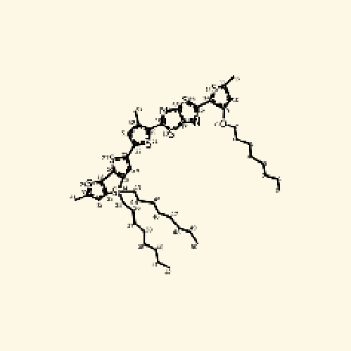 CCCCCCCCOc1cc(C)sc1-c1nc2sc(-c3sc(-c4cc5c(s4)-c4sc(C)cc4[Si]5(CCCCCCCC)CCCCCCCC)cc3C)nc2s1